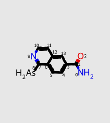 NC(=O)c1ccc2c([AsH2])nccc2c1